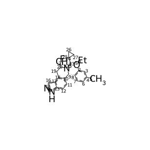 CCOc1cc(C)ccc1[C@@H]1c2ccc3[nH]ncc3c2C[C@@H](C)N1CC1(F)CC1